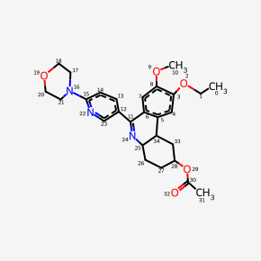 CCOc1cc2c(cc1OC)C(c1ccc(N3CCOCC3)nc1)=NC1CCC(OC(C)=O)CC21